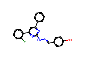 Oc1ccc(/C=N/Nc2nc(-c3ccccc3)cc(-c3ccccc3Cl)n2)cc1